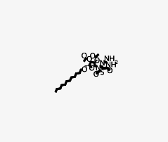 CCCCCCCCCCCCOC[C@H]1O[C@@H](n2c(=O)sc3c(=O)[nH]c(N)nc32)[C@H](OC(C)=O)[C@@H]1OC(C)=O